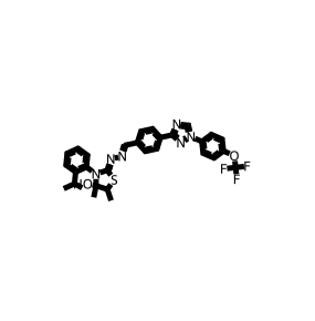 CC(C)c1ccccc1N1C(=NN=Cc2ccc(-c3ncn(-c4ccc(OC(F)(F)F)cc4)n3)cc2)SC(C)C1(C)O